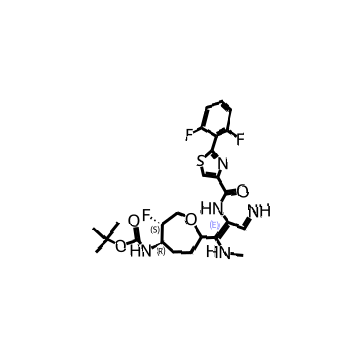 CN/C(=C(\C=N)NC(=O)c1csc(-c2c(F)cccc2F)n1)C1CC[C@@H](NC(=O)OC(C)(C)C)[C@H](F)CO1